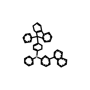 C1=CC2=C(CC1)C(C1=CC=C(N(c3ccccc3)c3cccc(-c4cccc5ccccc45)c3)CC1)(c1ccccc1)c1ccccc12